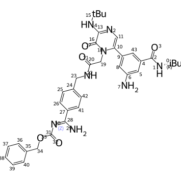 CC[C@@H](C)NC(=O)c1cc(N)cc(-c2cnc(NC(C)(C)C)c(=O)n2CC(=O)NCc2ccc(/C(N)=N/C(=O)OCc3ccccc3)cc2)c1